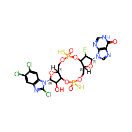 O=c1[nH]cnc2c1ncn2[C@@H]1O[C@@H]2COP(=O)(S)OC3C(O)[C@H](n4c(Cl)nc5cc(Cl)c(Cl)cc54)O[C@@H]3COP(=O)(S)OC2C1F